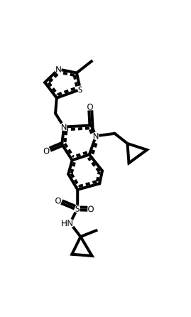 Cc1ncc(Cn2c(=O)c3cc(S(=O)(=O)NC4(C)CC4)ccc3n(CC3CC3)c2=O)s1